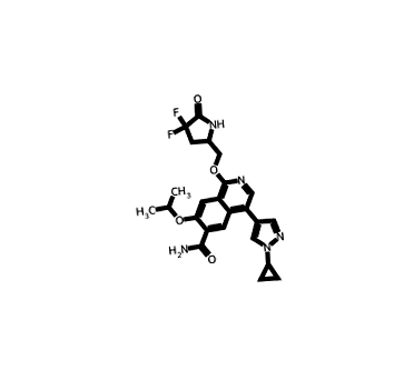 CC(C)Oc1cc2c(OCC3CC(F)(F)C(=O)N3)ncc(-c3cnn(C4CC4)c3)c2cc1C(N)=O